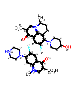 CC1CCc2c(N3CCC(O)CC3)c(F)cc3c(=O)c(C(=O)O)cn1c23.CCn1cc(C(=O)O)c(=O)c2cc(F)c(N3CCNCC3)cc21